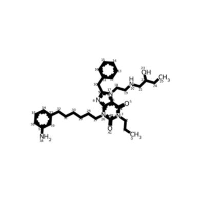 CCCn1c(=O)c2c(nc(Cc3ccccc3)n2CCNCC(O)CC)n(CCCCCCc2cccc(N)c2)c1=O